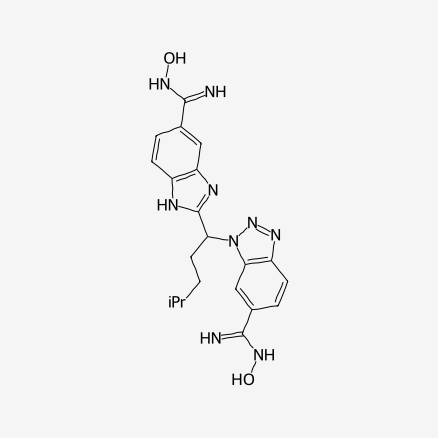 CC(C)CCC(c1nc2cc(C(=N)NO)ccc2[nH]1)n1nnc2ccc(C(=N)NO)cc21